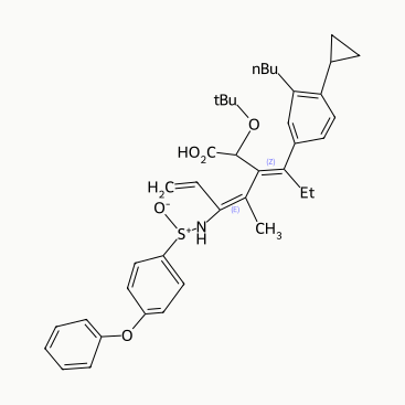 C=C/C(N[S+]([O-])c1ccc(Oc2ccccc2)cc1)=C(C)\C(=C(/CC)c1ccc(C2CC2)c(CCCC)c1)C(OC(C)(C)C)C(=O)O